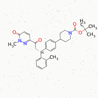 Cc1ccccc1[C@H](CC(=O)c1ccc(=O)n(C)n1)c1ccc(C2CCN(C(=O)OC(C)(C)C)CC2)cc1